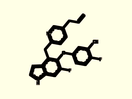 C=CCc1ccc(Cc2c(Oc3ccc(F)c(C#N)c3)c(F)cc3[nH]ccc23)nc1